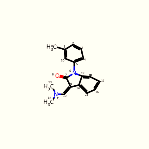 Cc1cccc(N2C(=O)C(=CN(C)C)c3ccccc32)c1